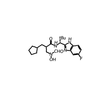 CC(C)(C)[C@H](NC(=O)C(CC1CCCC1)CN(O)C=O)c1nc2cc(F)ccc2[nH]1